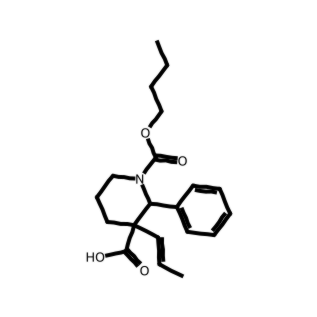 CC=CC1(C(=O)O)CCCN(C(=O)OCCCC)C1c1ccccc1